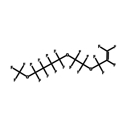 FC(F)=C(F)C(F)(F)OC(F)(F)C(F)(F)OC(F)(F)C(F)(F)C(F)(F)C(F)(F)OC(F)(F)F